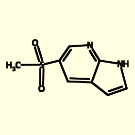 CS(=O)(=O)c1cnc2[nH]ccc2c1